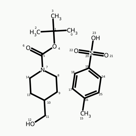 CC(C)(C)OC(=O)N1CCC(CO)CC1.Cc1ccc(S(=O)(=O)O)cc1